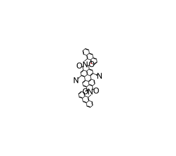 N#Cc1cc2c3c(cc(C#N)c4c5ccc6c7c(ccc(c1c34)c75)C(=O)N(Cc1c3ccccc3cc3ccccc13)C6=O)C(=O)N(Cc1c3ccccc3cc3ccccc13)C2=O